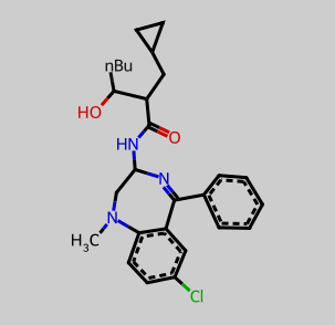 CCCCC(O)C(CC1CC1)C(=O)NC1CN(C)c2ccc(Cl)cc2C(c2ccccc2)=N1